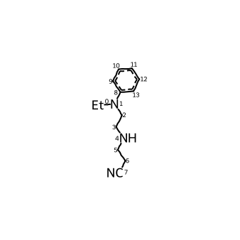 CCN(CCNCCC#N)c1ccccc1